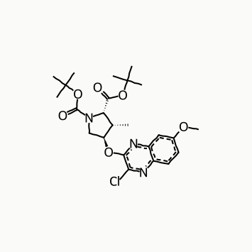 COc1ccc2nc(Cl)c(O[C@H]3CN(C(=O)OC(C)(C)C)[C@H](C(=O)OC(C)(C)C)[C@@H]3C)nc2c1